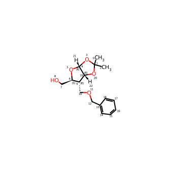 CC1(C)O[C@H]2O[C@H](CO)[C@@H](COCc3ccccc3)[C@H]2O1